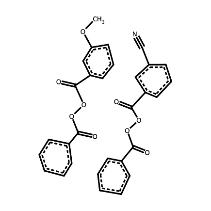 COc1cccc(C(=O)OOC(=O)c2ccccc2)c1.N#Cc1cccc(C(=O)OOC(=O)c2ccccc2)c1